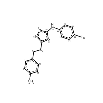 Cc1ccc(CSc2nnc(Nc3ccc(F)cc3)o2)cc1